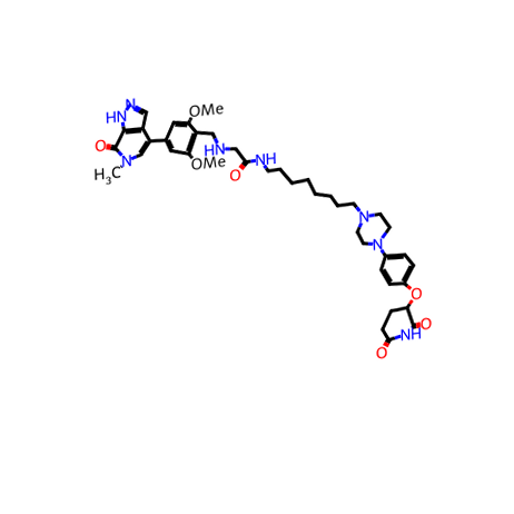 COc1cc(-c2cn(C)c(=O)c3[nH]ncc23)cc(OC)c1CNCC(=O)NCCCCCCCCN1CCN(c2ccc(OC3CCC(=O)NC3=O)cc2)CC1